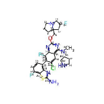 CN(c1nc(OC[C@@]23CCCN2C[C@H](F)C3)nc2c(F)c(-c3ccc(F)c4sc(N)nc34)c(Cl)cc12)[C@@H]1CCNC1